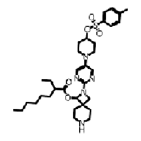 CCCCCCC(CC)C(=O)OC1N(c2ncc(N3CCC(OS(=O)(=O)c4ccc(C)cc4)CC3)cn2)CC12CCNCC2